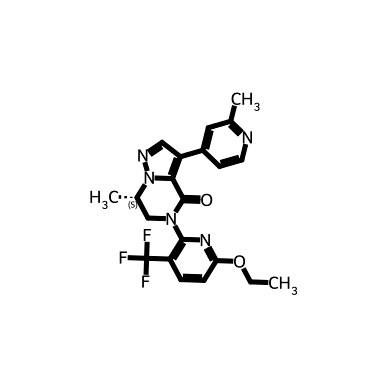 CCOc1ccc(C(F)(F)F)c(N2C[C@H](C)n3ncc(-c4ccnc(C)c4)c3C2=O)n1